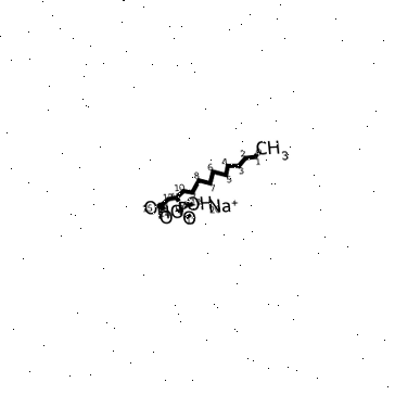 CCCCCCCCCCCC(CC(=O)[O-])P(=O)(O)O.[Na+]